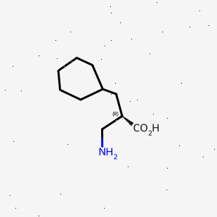 NC[C@@H](CC1CCCCC1)C(=O)O